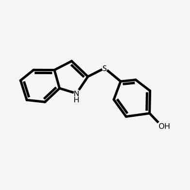 Oc1ccc(Sc2cc3ccccc3[nH]2)cc1